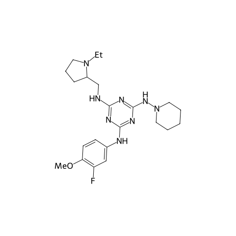 CCN1CCCC1CNc1nc(Nc2ccc(OC)c(F)c2)nc(NN2CCCCC2)n1